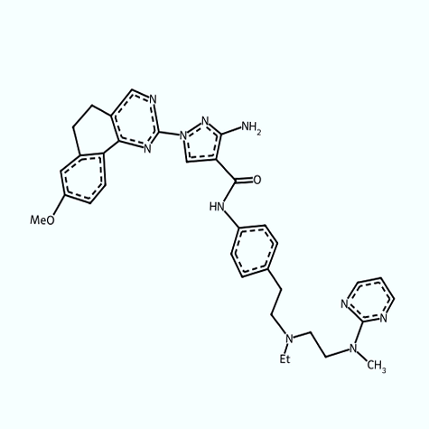 CCN(CCc1ccc(NC(=O)c2cn(-c3ncc4c(n3)-c3ccc(OC)cc3CC4)nc2N)cc1)CCN(C)c1ncccn1